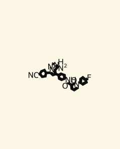 N#CC1CCC(c2cc(-c3ccc(NC(=O)c4cccn(-c5ccc(F)cc5)c4=O)cc3)c3c(N)ncnn23)CC1